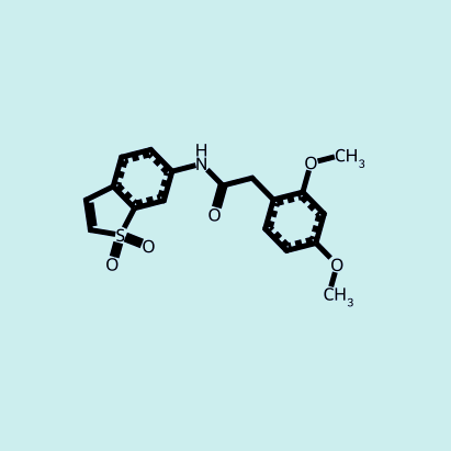 COc1ccc(CC(=O)Nc2ccc3c(c2)S(=O)(=O)C=C3)c(OC)c1